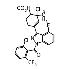 CC1(C)C=C(c2nn(C(=O)c3c(Cl)cccc3C(F)(F)F)c3cccc(F)c23)CCC1C(=O)O